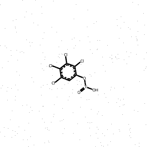 [O]=[Ti]([OH])[O]c1cc(Cl)c(Cl)c(Cl)c1Cl